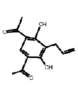 C=CCc1c(O)c(C(C)=O)cc(C(C)=O)c1O